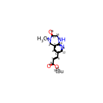 CN1Cc2cc(C=CC(=O)OC(C)(C)C)cnc2NCC1=O